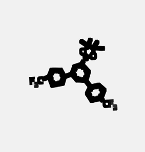 CC1(C)OB(c2cc(-c3ccc(C(F)(F)F)cc3)cc(-c3ccc(C(F)(F)F)cc3)c2)OC1(C)C